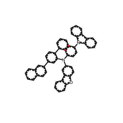 c1ccc(-c2ccc(-c3ccc4ccccc4c3)cc2N(c2ccc(-n3c4ccccc4c4ccccc43)cc2)c2ccc3oc4ccccc4c3c2)cc1